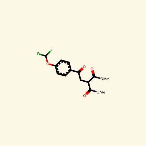 COC(=O)C(CC(=O)c1ccc(OC(F)F)cc1)C(=O)OC